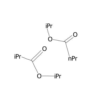 CC(C)OC(=O)C(C)C.CCCC(=O)OC(C)C